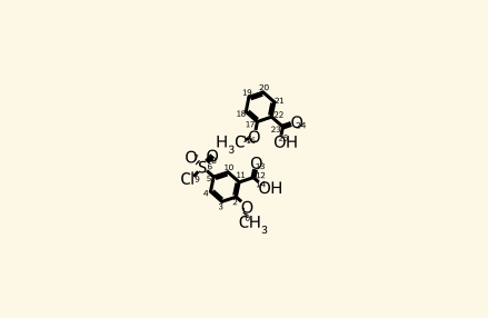 COc1ccc(S(=O)(=O)Cl)cc1C(=O)O.COc1ccccc1C(=O)O